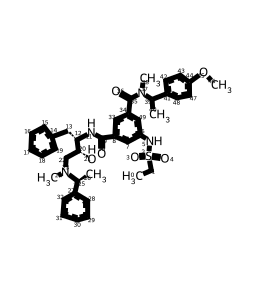 CCS(=O)(=O)Nc1cc(C(=O)N[C@@H](Cc2ccccc2)[C@H](O)CN(C)[C@@H](C)c2ccccc2)cc(C(=O)N(C)C(C)c2ccc(OC)cc2)c1